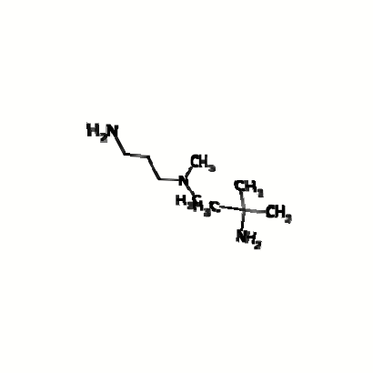 CC(C)(C)N.CN(C)CCCN